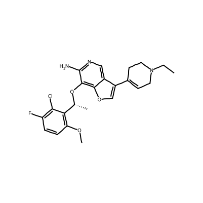 CCN1CC=C(c2coc3c(O[C@H](C)c4c(OC)ccc(F)c4Cl)c(N)ncc23)CC1